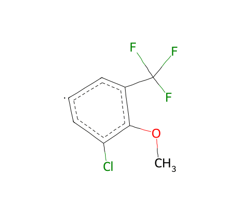 COc1c(Cl)c[c]cc1C(F)(F)F